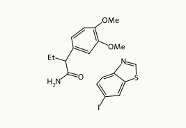 CCC(C(N)=O)c1ccc(OC)c(OC)c1.Ic1ccc2ncsc2c1